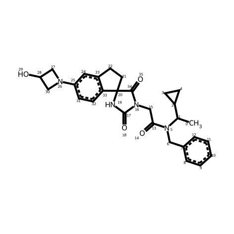 CC(C1CC1)N(Cc1ccccc1)C(=O)CN1C(=O)NC2(CCc3cc(N4CC(O)C4)ccc32)C1=O